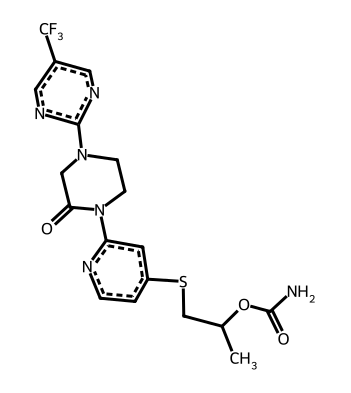 CC(CSc1ccnc(N2CCN(c3ncc(C(F)(F)F)cn3)CC2=O)c1)OC(N)=O